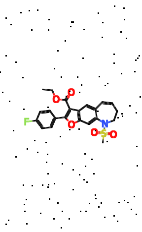 CCOC(=O)c1c(-c2ccc(F)cc2)oc2cc3c(cc12)C=CCCN3S(C)(=O)=O